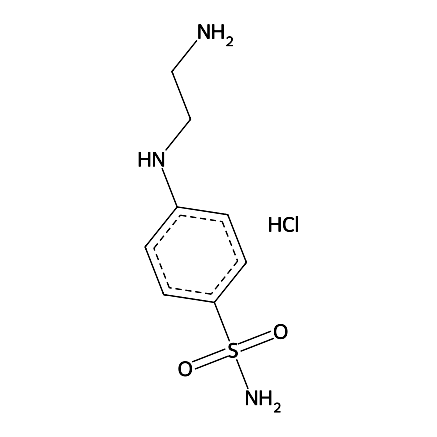 Cl.NCCNc1ccc(S(N)(=O)=O)cc1